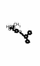 CCOC(Cc1ccc(OCC=Cc2cc(-c3ccccc3)cc(-c3ccccc3)c2)cc1)C(=O)O